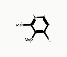 CNc1nccc(I)c1OC